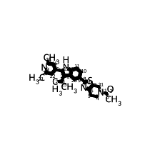 CC(=O)N1CCc2nc(-c3ccc4[nH]c(-c5cc(C)nc(C)c5)c(C(C)C)c4c3)sc2C1